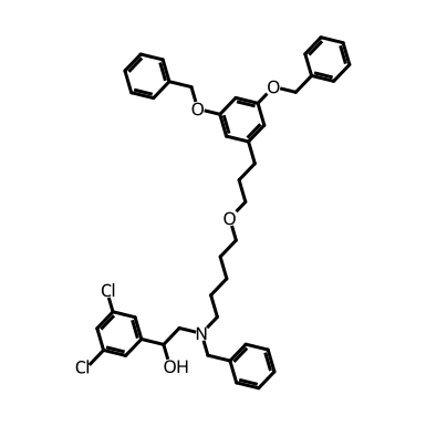 OC(CN(CCCCCOCCCc1cc(OCc2ccccc2)cc(OCc2ccccc2)c1)Cc1ccccc1)c1cc(Cl)cc(Cl)c1